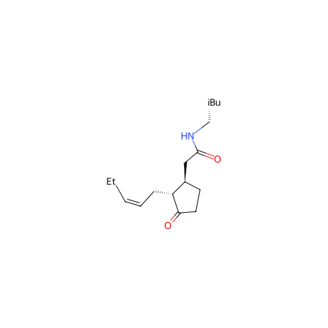 CC/C=C\C[C@H]1C(=O)CC[C@@H]1CC(=O)NC[C@@H](C)CC